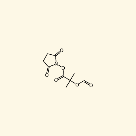 CC(C)(OC=O)C(=O)ON1C(=O)CCC1=O